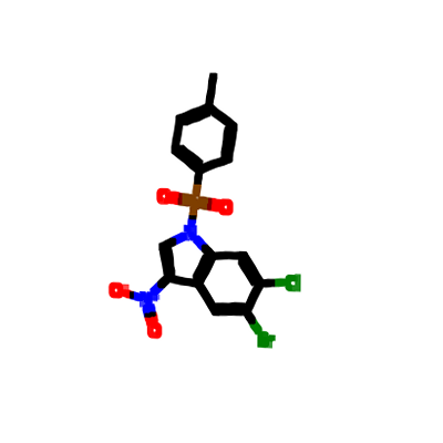 Cc1ccc(S(=O)(=O)n2cc([N+](=O)[O-])c3cc(Br)c(Cl)cc32)cc1